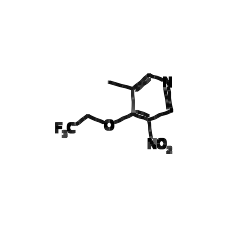 Cc1cncc([N+](=O)[O-])c1OCC(F)(F)F